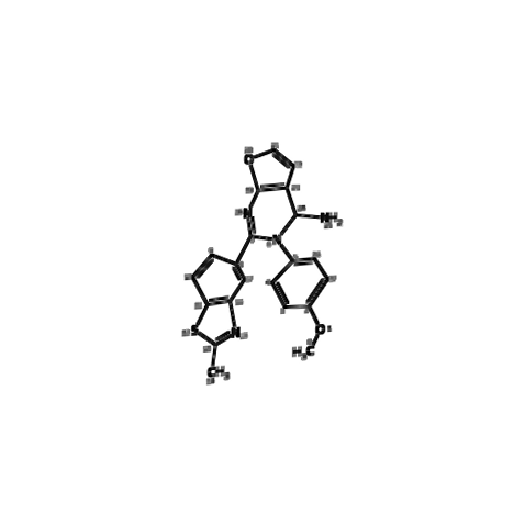 COc1ccc(N2C(c3ccc4sc(C)nc4c3)=Nc3occc3C2N)cc1